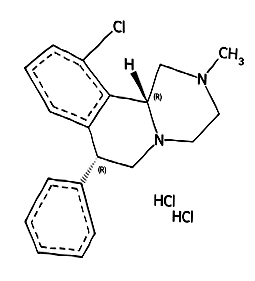 CN1CCN2C[C@H](c3ccccc3)c3cccc(Cl)c3[C@@H]2C1.Cl.Cl